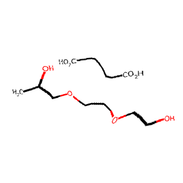 CC(O)COCCOCCO.O=C(O)CCC(=O)O